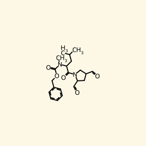 CC(C)CC(C(=O)N1CC(C=O)CC1C=O)N(C)C(=O)OCc1ccccc1